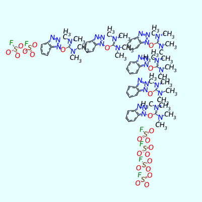 CN(C)C(On1nnc2ccccc21)=[N+](C)C.CN(C)C(On1nnc2ccccc21)=[N+](C)C.CN(C)C(On1nnc2ccccc21)=[N+](C)C.CN(C)C(On1nnc2ccccc21)=[N+](C)C.CN(C)C(On1nnc2ccccc21)=[N+](C)C.CN(C)C(On1nnc2ccccc21)=[N+](C)C.O=S(=O)([O-])F.O=S(=O)([O-])F.O=S(=O)([O-])F.O=S(=O)([O-])F.O=S(=O)([O-])F.O=S(=O)([O-])F